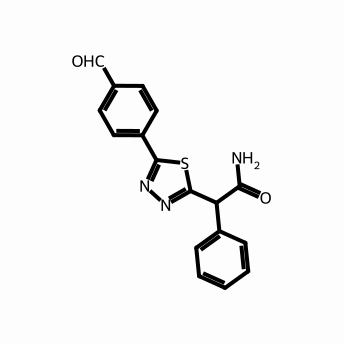 NC(=O)C(c1ccccc1)c1nnc(-c2ccc(C=O)cc2)s1